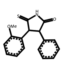 COc1ccccc1C1C(=S)NC(=O)C1c1ccccc1